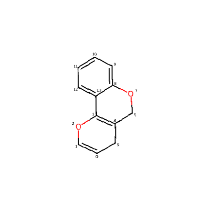 C1=COC2=C(C1)COc1ccccc12